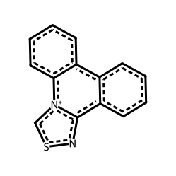 c1ccc2c(c1)c1ccccc1[n+]1csnc21